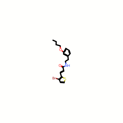 CCCCOc1cccc(CCNC(=O)C=Cc2sccc2Br)c1